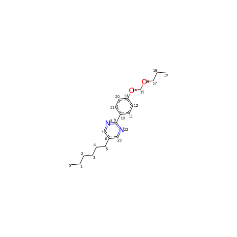 CCCCCCc1cnc(-c2ccc(OCOCCC)cc2)nc1